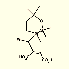 CCC(C(=CC(=O)O)C(=O)O)[Si]1(C)CCC(C)(C)O[Si]1(C)C